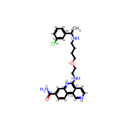 CC(NCCCCOCCNc1nc2cc(C(N)=O)ccc2c2cnccc12)c1cccc(Cl)c1